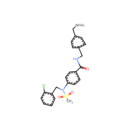 CC(=O)NCc1ccc(CNC(=O)c2ccc(N(Cc3ccccc3Cl)S(C)(=O)=O)cc2)cc1